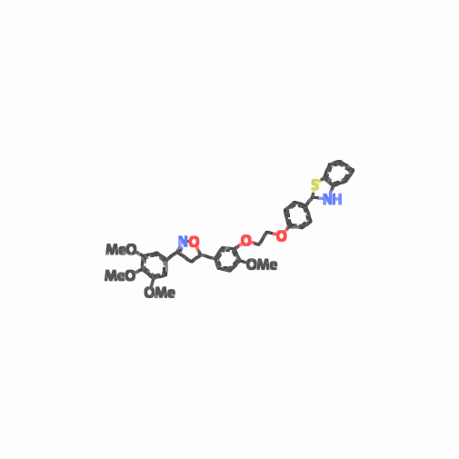 COc1ccc(C2CC(c3cc(OC)c(OC)c(OC)c3)=NO2)cc1OCCOc1ccc(C2Nc3ccccc3S2)cc1